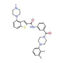 Cc1cccc(N2CCN(C(=O)c3cccc(NC(=O)c4cc5c(N6CCN(C)CC6)cccc5s4)c3)CC2)c1C